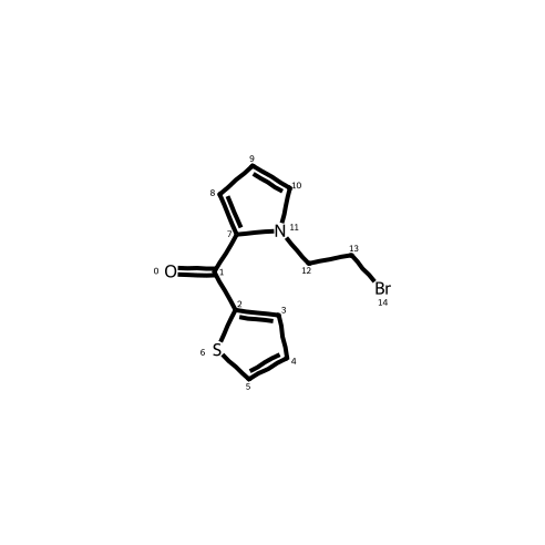 O=C(c1cccs1)c1cccn1CCBr